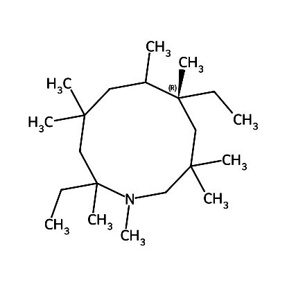 CCC1(C)CC(C)(C)CC(C)[C@](C)(CC)CC(C)(C)CN1C